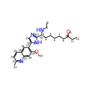 CCN[C@@H](CCCCCC(=O)CC)c1ncc(-c2cc3ccc(C)nc3cc2OC)[nH]1